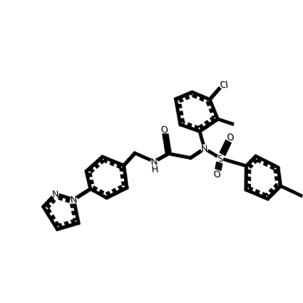 Cc1ccc(S(=O)(=O)N(CC(=O)NCc2ccc(-n3cccn3)cc2)c2cccc(Cl)c2C)cc1